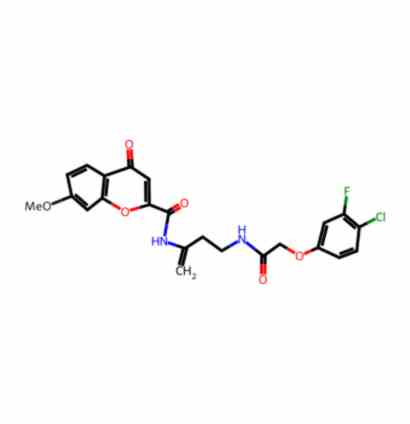 C=C(CCNC(=O)COc1ccc(Cl)c(F)c1)NC(=O)c1cc(=O)c2ccc(OC)cc2o1